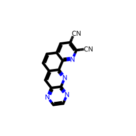 N#Cc1cc2ccc3cc4nccnc4nc3c2nc1C#N